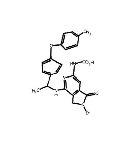 CCN1Cc2c(cc(NC(=O)O)nc2NC(C)c2ccc(Oc3ccc(C)cc3)cc2)C1=O